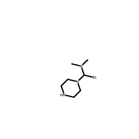 CCC(N(C)C)N1CCNCC1